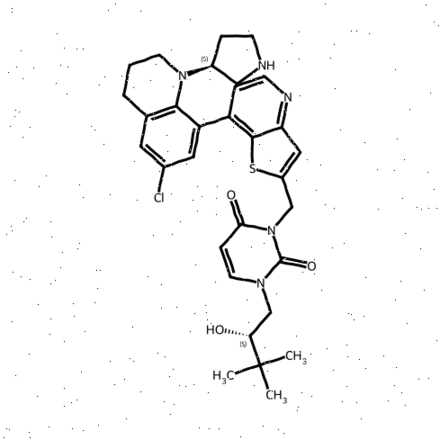 CC(C)(C)[C@H](O)Cn1ccc(=O)n(Cc2cc3nccc(-c4cc(Cl)cc5c4N([C@H]4CCNC4)CCC5)c3s2)c1=O